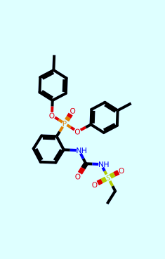 CCS(=O)(=O)NC(=O)Nc1ccccc1P(=O)(Oc1ccc(C)cc1)Oc1ccc(C)cc1